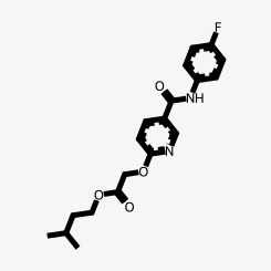 CC(C)CCOC(=O)COc1ccc(C(=O)Nc2ccc(F)cc2)cn1